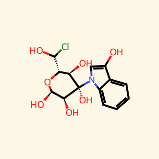 Oc1cn([C@]2(O)[C@H](O)[C@@H](C(O)Cl)O[C@H](O)[C@@H]2O)c2ccccc12